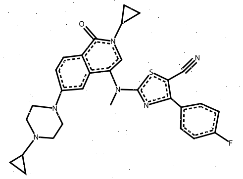 CN(c1nc(-c2ccc(F)cc2)c(C#N)s1)c1cn(C2CC2)c(=O)c2ccc(N3CCN(C4CC4)CC3)cc12